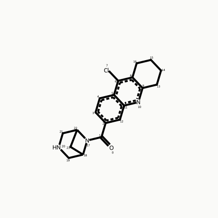 O=C(c1ccc2c(Cl)c3c(nc2c1)CCCC3)N1C2CNCC1C2